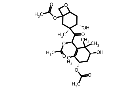 CC(=O)O[C@@H](C(=O)[C@@]1(C)C[C@]2(OC(C)=O)COC2C[C@@H]1O)C1=C(C)[C@@H](OC(C)=O)C[C@H](O)C1(C)C